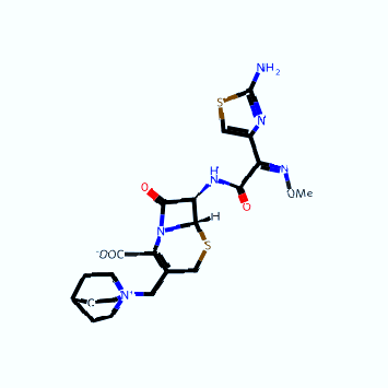 CO/N=C(\C(=O)N[C@@H]1C(=O)N2C(C(=O)[O-])=C(C[N+]34CCC(CC3)CC4)CS[C@@H]12)c1csc(N)n1